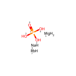 O=P(O)(O)O.[MgH2].[NaH].[RbH]